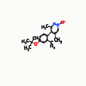 Cc1cc(OC(C)(C)C)ccc1-c1c(C)c[n+]([O-])nc1C